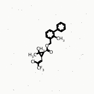 Cc1c(COC(=O)[C@H]2[C@@H](C=C(Cl)C(F)(F)F)C2(C)C)cccc1-c1ccccc1